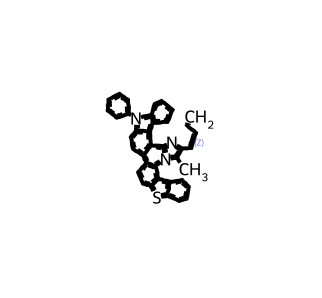 C=C/C=C\c1nc2c3c(ccc4c3c3ccccc3n4-c3ccccc3)c3ccc4sc5ccccc5c4c3n2c1C